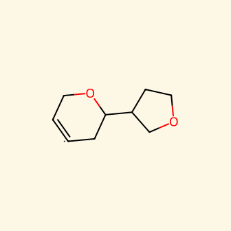 [C]1=CCOC(C2CCOC2)C1